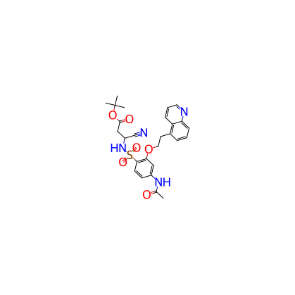 CC(=O)Nc1ccc(S(=O)(=O)NC(C#N)CC(=O)OC(C)(C)C)c(OCCc2cccc3ncccc23)c1